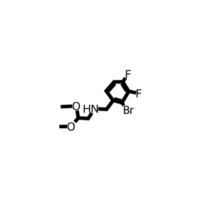 COC(CNCc1ccc(F)c(F)c1Br)OC